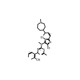 C=C(C)S/C(=N\C(C)C(/C=C\C)=C(/C)C#N)N(C)c1c(CC)nc(/C=C\C(C)C2CCCN(C)CC2)n1CC